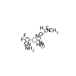 CN(C)CCCOc1cc(N2CC3CCC(C2)N3)c2c(n1)CC(c1cc(F)c(F)c3sc(N)nc13)CC2